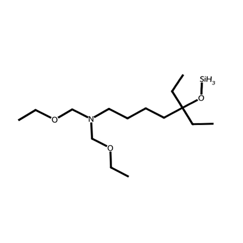 CCOCN(CCCCC(CC)(CC)O[SiH3])COCC